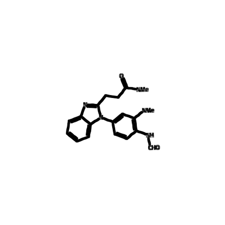 CNC(=O)CCc1nc2ccccc2n1-c1ccc(NC=O)c(NC)c1